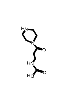 O=C(O)NCCC(=O)N1CCNCC1